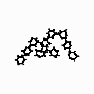 c1ccc(-c2ccc(-c3cccc(-c4cccc(-c5nc(-c6cccc(-c7ccc(-c8ccccc8)cc7)c6)c6c7ccccc7n(-c7ccccc7)c6n5)c4)c3)cc2)cc1